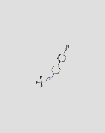 N#Cc1ccc(C2CCC(/C=C/CC(F)(F)F)CC2)cc1